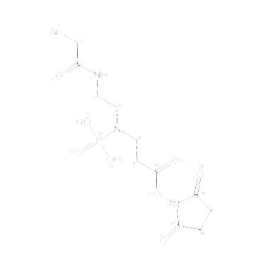 O=C(CBr)NCCN(CCC(=O)ON1C(=O)CCC1=O)P(=O)(O)O